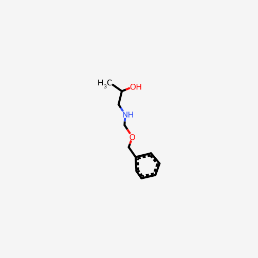 CC(O)CNCOCc1ccccc1